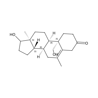 CC1=C2CC(=O)CC[C@]2(CO)[C@@H]2CC[C@]3(C)C(O)CC[C@H]3[C@@H]2C1